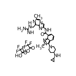 Cc1cn2cc(NC(=O)c3cccc4c(N5CCC(NC6CC6)CC5)n(C)nc34)nc2c(CNC(=N)N)n1.O=C(O)C(F)(F)F.O=C(O)C(F)(F)F